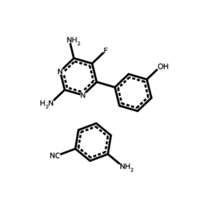 N#Cc1cccc(N)c1.Nc1nc(N)c(F)c(-c2cccc(O)c2)n1